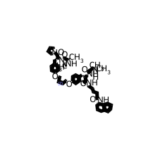 CN[C@@H](C)C(=O)N[C@@H](Cc1ccc(OC/C=C\COc2ccc(C[C@H](NC(=O)[C@H](C)NC)C(=O)N3CCCC3)cc2)cc1)C(=O)NCCCCC(=O)N[C@@H]1CCCc2ccccc21